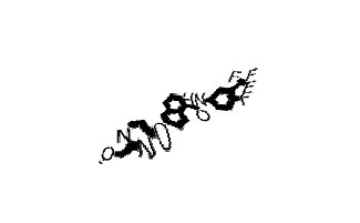 COCc1nccc(Oc2ccc3c(C(=O)Nc4ccc(F)c(C(F)(F)F)c4)cccc3c2)n1